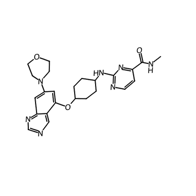 CNC(=O)c1ccnc(NC2CCC(Oc3cc(N4CCOCC4)cc4ncncc34)CC2)n1